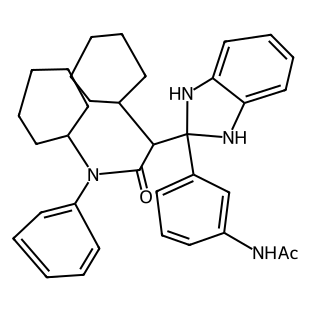 CC(=O)Nc1cccc(C2(C(C(=O)N(c3ccccc3)C3CCCCC3)C3CCCCC3)Nc3ccccc3N2)c1